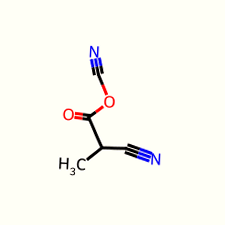 CC(C#N)C(=O)OC#N